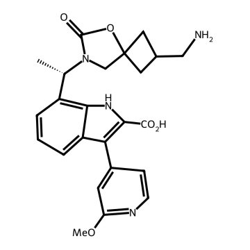 COc1cc(-c2c(C(=O)O)[nH]c3c([C@H](C)N4CC5(CC(CN)C5)OC4=O)cccc23)ccn1